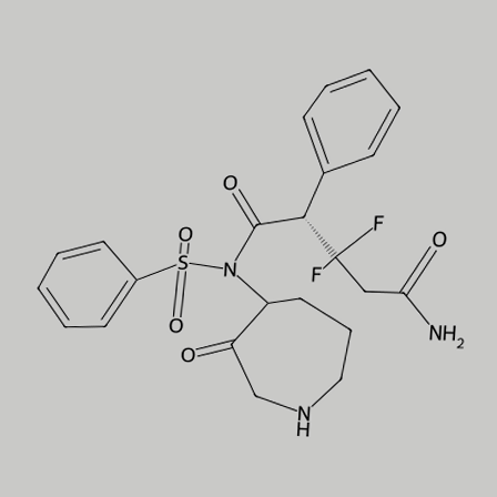 NC(=O)CC(F)(F)[C@H](C(=O)N(C1CCCNCC1=O)S(=O)(=O)c1ccccc1)c1ccccc1